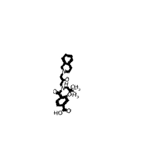 CC1(C)CN(CC(O)CN2CCc3ccccc3C2)C(=O)c2ccc(C(=O)O)cc2O1